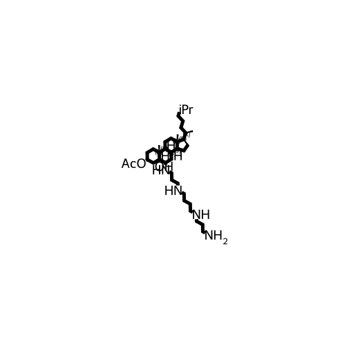 CC(=O)OC1CC[C@]2(C)[C@H]3CC[C@]4(C)[C@@H]([C@H](C)CCCC(C)C)CC[C@H]4[C@@H]3CC(NCCCNCCCCNCCCN)C2(O)C1